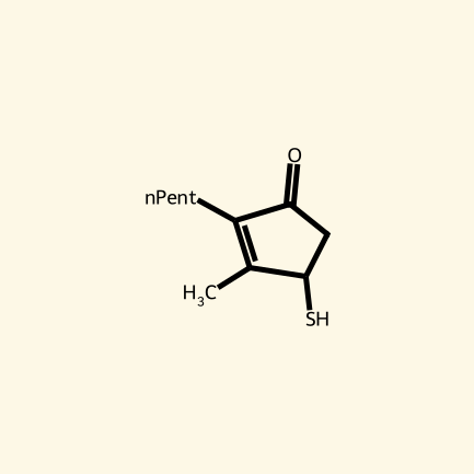 CCCCCC1=C(C)C(S)CC1=O